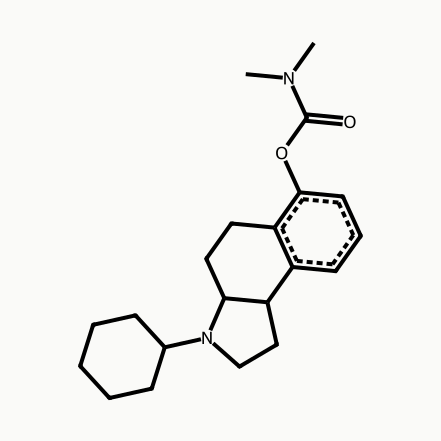 CN(C)C(=O)Oc1cccc2c1CCC1C2CCN1C1CCCCC1